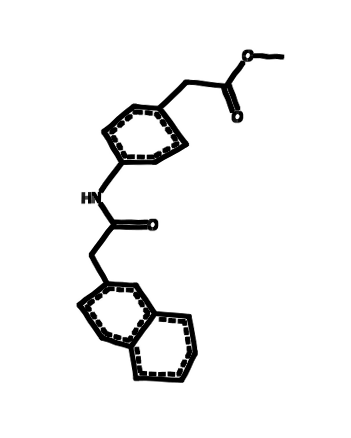 COC(=O)Cc1ccc(NC(=O)Cc2ccc3ccccc3c2)cc1